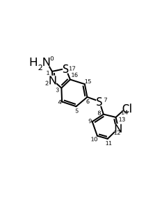 Nc1nc2ccc(Sc3cccnc3Cl)cc2s1